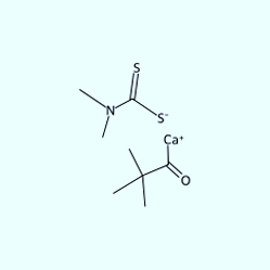 CC(C)(C)[C](=O)[Ca+].CN(C)C(=S)[S-]